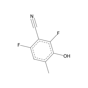 Cc1cc(F)c(C#N)c(F)c1O